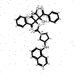 O=C(OC(C(=O)O)(C(=O)c1ccccc1)C(O)(C(=O)O)C(=O)c1ccccc1)N1CCC(Nc2cccc3cnccc23)C1